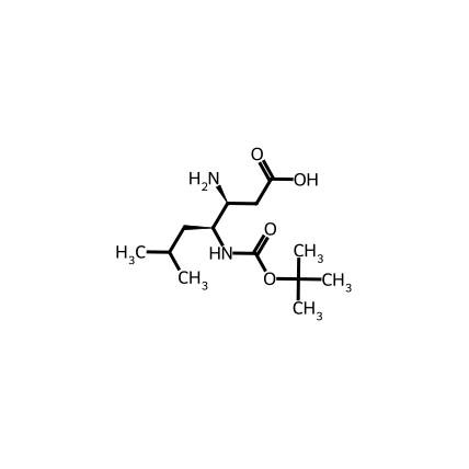 CC(C)C[C@H](NC(=O)OC(C)(C)C)[C@@H](N)CC(=O)O